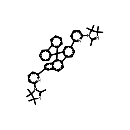 CC1=NC(C)(C)C(C)(C)N1c1cccc(-c2ccc3c(c2)C2(c4ccccc4-c4ccccc42)c2c-3ccc3cc(-c4cccc(N5C(C)=NC(C)(C)C5(C)C)n4)ccc23)n1